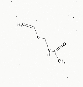 C=CSCNC(C)=O